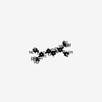 Cc1c(COc2cc(OCc3cncc(C#N)c3)c(CNC(CO)(CO)CO)cc2Cl)cccc1-c1cccc(COc2cc(OCc3cncc(C#N)c3)c(CNC(CO)(CO)CO)cc2Cl)c1C